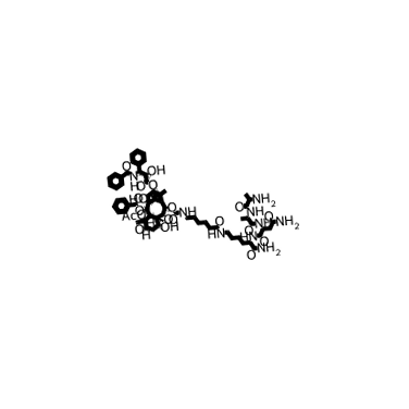 CC(=O)O[C@@]12CO[C@@H]1C[C@H](O)[C@@]1(C)C(=O)[C@H](OC(=O)NCCCCCC(=O)NCCCCC(NC(=O)C(CC(N)=O)NC(=O)C(C)NC(=O)C(C)N)C(N)=O)C3=C(C)[C@@H](OC(=O)[C@H](O)[C@@H](NC(=O)c4ccccc4)c4ccccc4)C[C@@](O)([C@@H](OC(=O)c4ccccc4)[C@H]21)C3(C)C